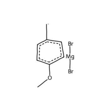 [Br][Mg][Br].[CH2]c1ccc(OC)cc1